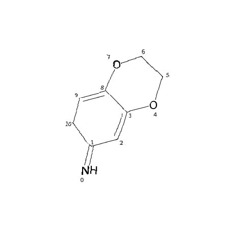 N=C1C=C2OCCOC2=CC1